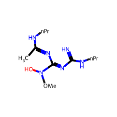 CCCNC(=N)/N=C(\N=C(/C)NCCC)N(O)OC